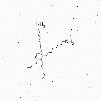 CCCCCCC1C(CCCC)C=CC(CCCCCCCCN)C1CCCCCCCCN